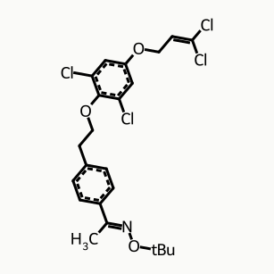 CC(=NOC(C)(C)C)c1ccc(CCOc2c(Cl)cc(OCC=C(Cl)Cl)cc2Cl)cc1